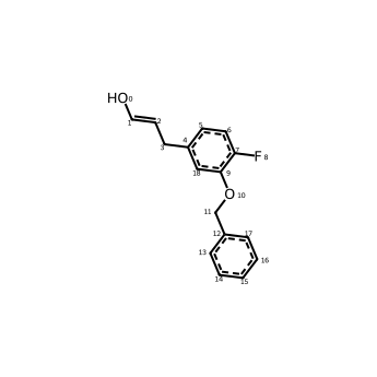 O/C=C/Cc1ccc(F)c(OCc2ccccc2)c1